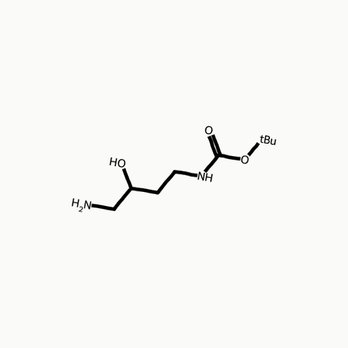 CC(C)(C)OC(=O)NCCC(O)CN